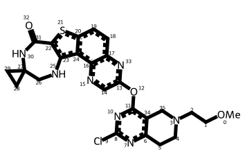 COCCN1CCc2nc(Cl)nc(Oc3cnc4c(ccc5sc6c(c54)NCC4(CC4)NC6=O)n3)c2C1